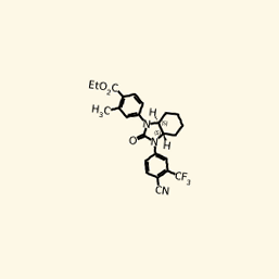 CCOC(=O)c1ccc(N2C(=O)N(c3ccc(C#N)c(C(F)(F)F)c3)[C@H]3CCCC[C@@H]32)cc1C